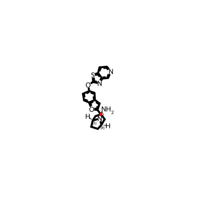 N[C@H]1C[C@H]2CC[C@@H](C1)N2Cc1cc2cc(Oc3nc4cnccc4s3)ccc2o1